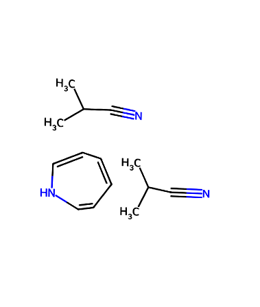 C1=CC=CNC=C1.CC(C)C#N.CC(C)C#N